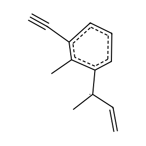 C#Cc1cccc([C](C)C=C)c1C